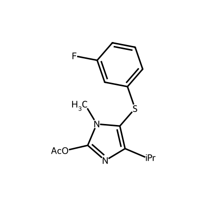 CC(=O)Oc1nc(C(C)C)c(Sc2cccc(F)c2)n1C